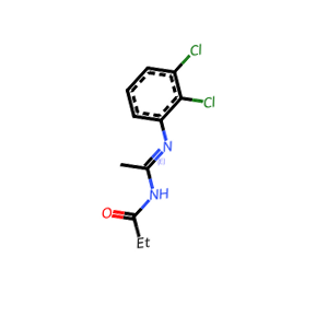 CCC(=O)N/C(C)=N/c1cccc(Cl)c1Cl